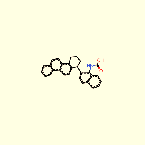 O=C(O)Nc1c(C2CCCc3c2ccc2c3ccc3ccccc32)ccc2ccccc12